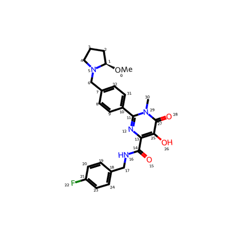 CO[C@@H]1CCCN1Cc1ccc(-c2nc(C(=O)NCc3ccc(F)cc3)c(O)c(=O)n2C)cc1